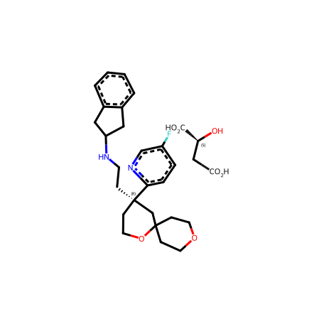 Fc1ccc([C@]2(CCNC3Cc4ccccc4C3)CCOC3(CCOCC3)C2)nc1.O=C(O)C[C@H](O)C(=O)O